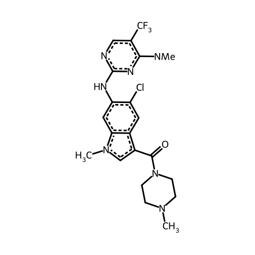 CNc1nc(Nc2cc3c(cc2Cl)c(C(=O)N2CCN(C)CC2)cn3C)ncc1C(F)(F)F